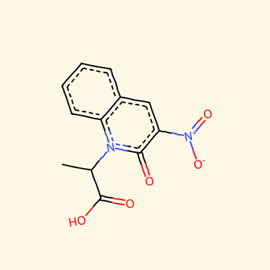 CC(C(=O)O)n1c(=O)c([N+](=O)[O-])cc2ccccc21